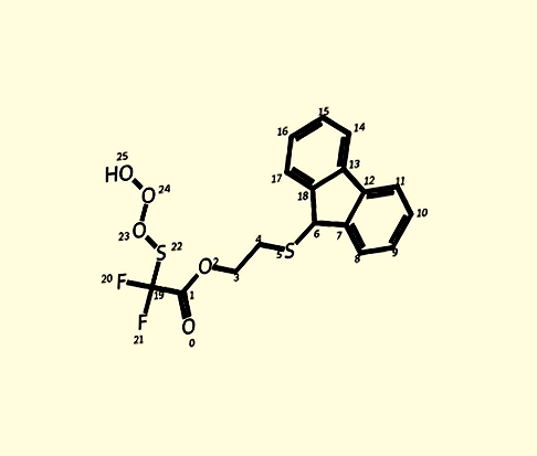 O=C(OCCSC1c2ccccc2-c2ccccc21)C(F)(F)SOOO